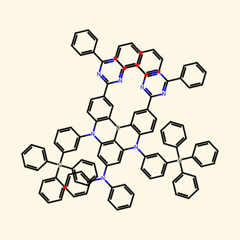 c1ccc(-c2nc(-c3ccccc3)nc(-c3ccc4c(c3)B3c5cc(-c6nc(-c7ccccc7)nc(-c7ccccc7)n6)ccc5N(c5cccc([Si](c6ccccc6)(c6ccccc6)c6ccccc6)c5)c5cc(N(c6ccccc6)c6ccccc6)cc(c53)N4c3cccc([Si](c4ccccc4)(c4ccccc4)c4ccccc4)c3)n2)cc1